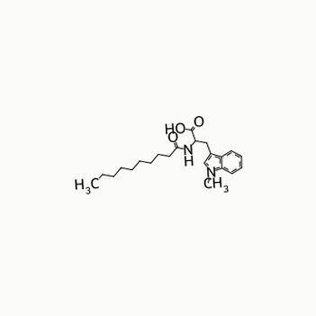 CCCCCCCCCC(=O)NC(Cc1cn(C)c2ccccc12)C(=O)O